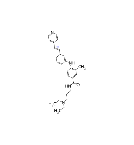 CCN(CC)CCCNC(=O)c1ccc(NC2=CC(/C=C/c3ccncc3)CC=C2)c(C)c1